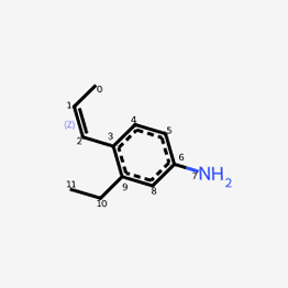 C/C=C\c1ccc(N)cc1CC